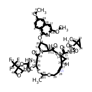 COc1ccc2c(O[C@@H]3C[C@H]4C(=O)N[C@]5(C(=O)NS(=O)(=O)C6(C)CC6)C[C@H]5/C=C\CC[C@@H](C)C[C@@H](C)[C@H](NC(=O)OC5(C(F)(F)F)COC5)C(=O)N4C3)nc(OC)cc2c1